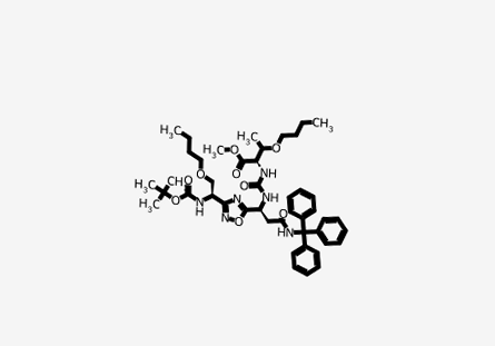 CCCCOC[C@H](NC(=O)OC(C)(C)C)c1noc([C@H](CC(=O)NC(c2ccccc2)(c2ccccc2)c2ccccc2)NC(=O)N[C@H](C(=O)OC)C(C)OCCCC)n1